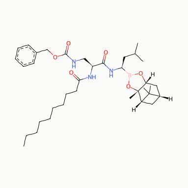 CCCCCCCCCC(=O)N[C@@H](CNC(=O)OCc1ccccc1)C(=O)N[C@@H](CC(C)C)B1O[C@@H]2C[C@@H]3C[C@@H](C3(C)C)[C@]2(C)O1